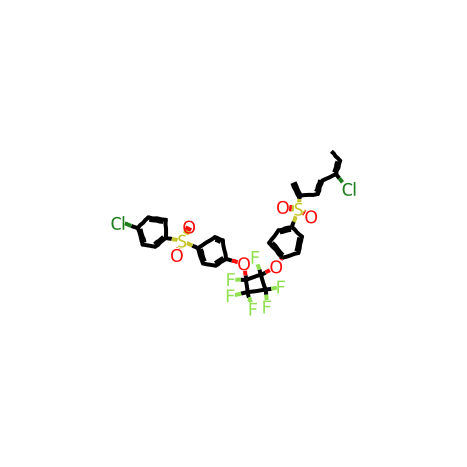 C=C(/C=C/C(Cl)=C\C)S(=O)(=O)c1ccc(OC2(F)C(F)(F)C(F)(F)C2(F)Oc2ccc(S(=O)(=O)c3ccc(Cl)cc3)cc2)cc1